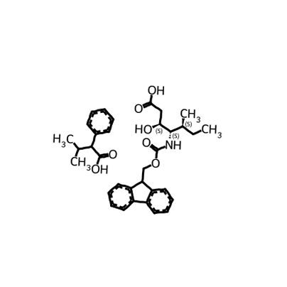 CC(C)C(C(=O)O)c1ccccc1.CC[C@H](C)[C@H](NC(=O)OCC1c2ccccc2-c2ccccc21)[C@@H](O)CC(=O)O